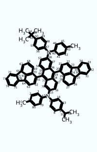 Cc1ccc(N(c2ccc(C(C)C)cc2)c2ccc3c(-c4ccc5c6c(cccc46)-c4ccccc4-5)c4cc(N(c5ccc(C)cc5)c5ccc(C(C)(C)C)cc5)ccc4c(-c4ccc5c6c(cccc46)-c4ccccc4-5)c3c2)cc1